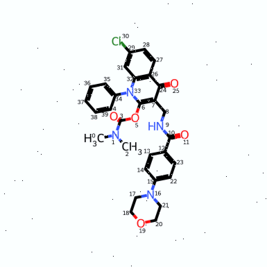 CN(C)C(=O)Oc1c(CNC(=O)c2ccc(N3CCOCC3)cc2)c(=O)c2ccc(Cl)cc2n1-c1ccccc1